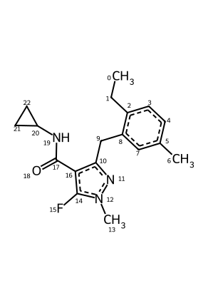 CCc1ccc(C)cc1Cc1nn(C)c(F)c1C(=O)NC1CC1